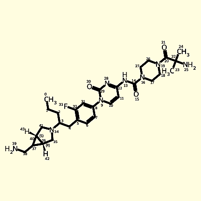 CCCC(Cc1ccc(-n2ccc(NC(=O)N3CCN(C(=O)C(C)(C)N)CC3)nc2=O)cc1F)N1C[C@@H]2C(CN)[C@@H]2C1